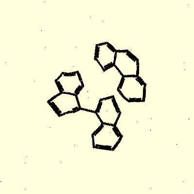 c1ccc2c(-c3cccc4ccccc34)cccc2c1.c1ccc2c(c1)ccc1ccccc12